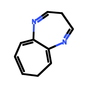 C1=CCC=C2N=CCC=NC2=C1